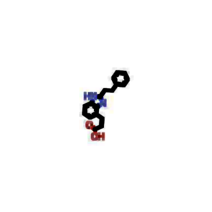 O=C(O)/C=C\c1cccc2[nH]c(CCc3ccccc3)nc12